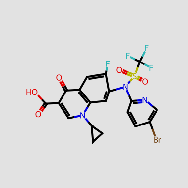 O=C(O)c1cn(C2CC2)c2cc(N(c3ccc(Br)cn3)S(=O)(=O)C(F)(F)F)c(F)cc2c1=O